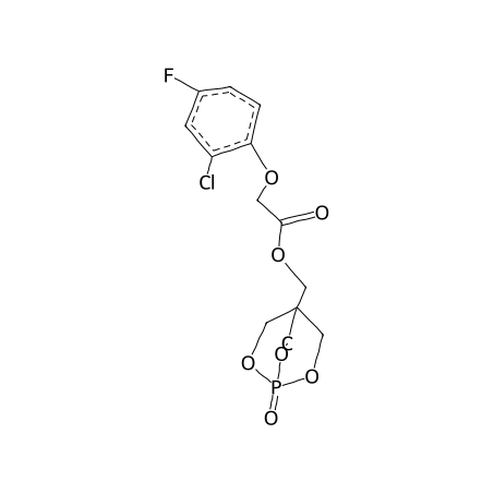 O=C(COc1ccc(F)cc1Cl)OCC12COP(=O)(OC1)OC2